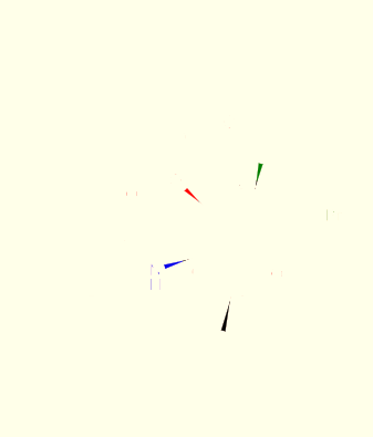 CC(=O)O[C@H]1[C@@H](F)[C@H](Br)O[C@@H](C)[C@H]1NC(=O)C(F)(F)F